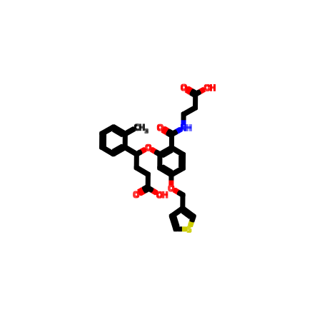 Cc1ccccc1C(CCC(=O)O)Oc1cc(OCc2ccsc2)ccc1C(=O)NCCC(=O)O